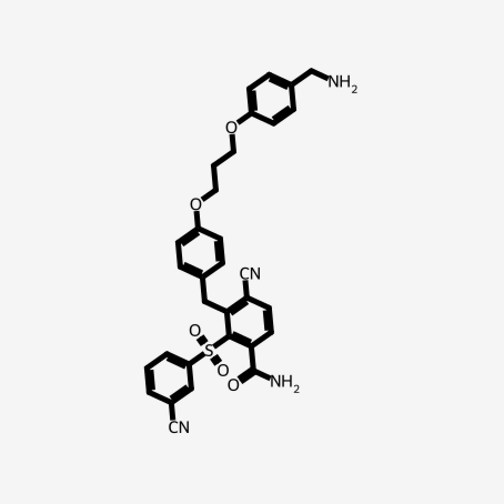 N#Cc1cccc(S(=O)(=O)c2c(C(N)=O)ccc(C#N)c2Cc2ccc(OCCCOc3ccc(CN)cc3)cc2)c1